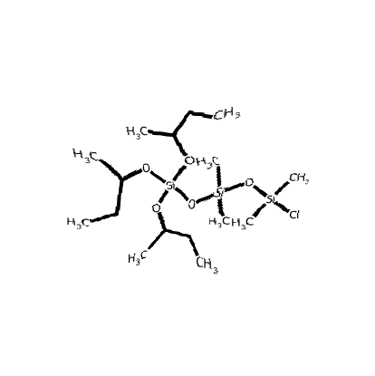 CCC(C)O[Si](OC(C)CC)(OC(C)CC)O[Si](C)(C)O[Si](C)(C)Cl